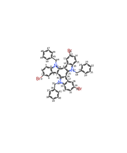 Brc1ccc2c(c1)c1c(c3c4cc(Br)ccc4n(Cc4ccccc4)c3c3c4cc(Br)ccc4n(Cc4ccccc4)c13)n2Cc1ccccc1